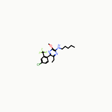 CCCCCNc1nc(CC)c(-c2ccc(Cl)cc2C(F)(F)F)nc1OC